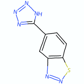 c1cc2snnc2cc1-c1nnn[nH]1